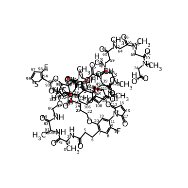 C[C@H](NC(=O)CCc1cc(F)c(N2C(=O)C=CC2=O)cc1OCCCC(=O)N(C)CC(=O)N(C)CC(=O)N(C)CC(=O)N(C)CC(=O)N(C)CC(=O)N(C)CC(=O)N(C)CC(=O)N(C)CC(=O)N(C)CC(=O)N(C)CC(=O)O)C(=O)N[C@@H](C)C(=O)NCOCC(=O)[C@@]12O[C@H](c3sccc3F)O[C@@H]1C[C@H]1[C@@H]3CCC4=CC(=O)C=C[C@]4(C)[C@@]3(F)[C@@H](O)C[C@@]12C